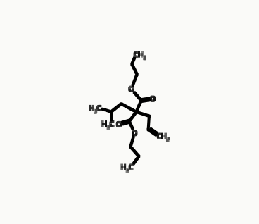 C=CCC(CC(C)C)(C(=O)OCCC)C(=O)OCCC